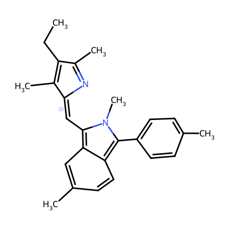 CCC1=C(C)/C(=C/c2c3cc(C)ccc3c(-c3ccc(C)cc3)n2C)N=C1C